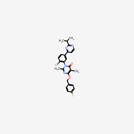 Cc1c(OCc2ccc(F)cc2)nc(C)n(-c2cc(-c3ccnc(C(C)C)n3)ccc2Cl)c1=O